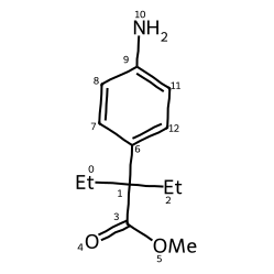 CCC(CC)(C(=O)OC)c1ccc(N)cc1